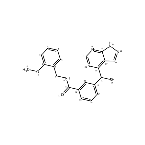 COc1ccccc1CNC(=O)c1cccc(C(S)c2ncnc3[nH]ncc23)c1